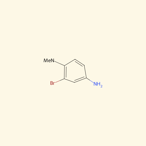 CNc1ccc(N)cc1Br